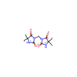 CC1(C)NC(=O)N(CN2C(=O)NC(C)(C)C2=O)C1=O